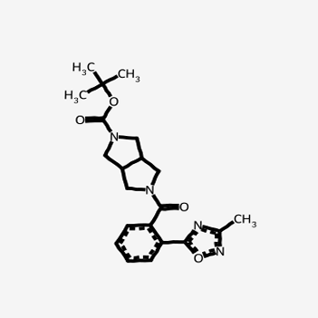 Cc1noc(-c2ccccc2C(=O)N2CC3CN(C(=O)OC(C)(C)C)CC3C2)n1